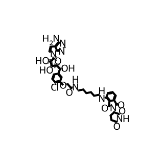 Nc1ncnc2c1ccn2[C@@H]1O[C@H]([C@H](O)c2ccc(Cl)c(OCC(=O)NCCCCCCNc3cccc4c3C(=O)N(C3CCC(=O)NC3=O)C4=O)c2)[C@@H](O)[C@H]1O